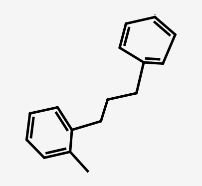 Cc1ccccc1CCCc1cc[c]cc1